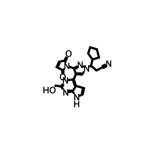 N#CCC(C1CCCC1)n1cc(-c2nc(CO)nc3[nH]ccc23)c(N2C(=O)C=CC2=O)n1